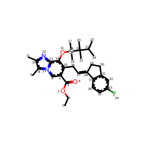 CCOC(=O)c1cn2c(C)c(C)nc2c(O[Si](C)(C)C(C)(C)C(C)C)c1CC=C1CCc2cc(F)ccc21